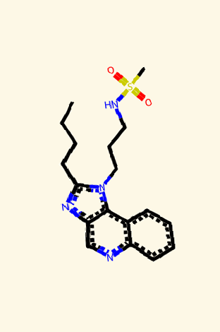 CCCCc1nc2cnc3ccccc3c2n1CCCNS(C)(=O)=O